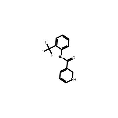 O=C(Nc1ccccc1C(F)(F)F)C1=CC=CNC1